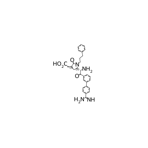 N=C(N)c1ccc(-c2cccc(C(=O)C(N)[C@@H]3C[C@@H](CC(=O)O)C(=O)N3CCCc3ccccc3)c2)cc1